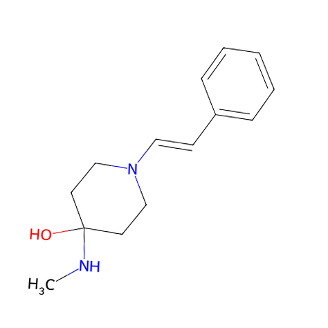 CNC1(O)CCN(C=Cc2ccccc2)CC1